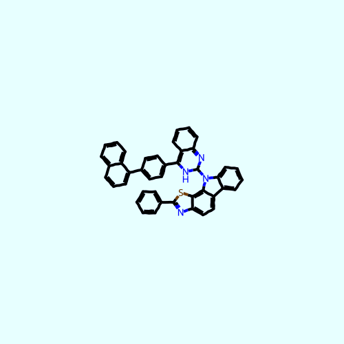 c1ccc(-c2nc3ccc4c5ccccc5n(C5N=c6ccccc6=C(c6ccc(-c7cccc8ccccc78)cc6)N5)c4c3s2)cc1